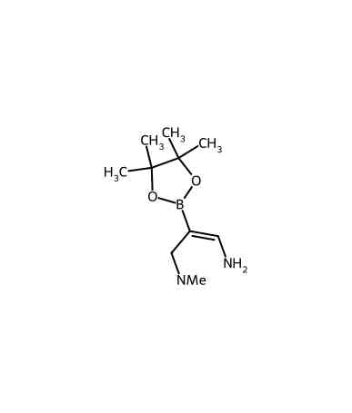 CNC/C(=C\N)B1OC(C)(C)C(C)(C)O1